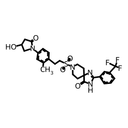 Cc1cc(N2CC(O)CC2=O)ccc1CCS(=O)(=O)N1CCC2(CC1)N=C(c1cccc(C(F)(F)F)c1)NC2=O